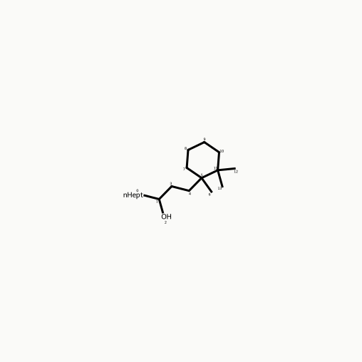 CCCCCCCC(O)CCC1(C)CCCCC1(C)C